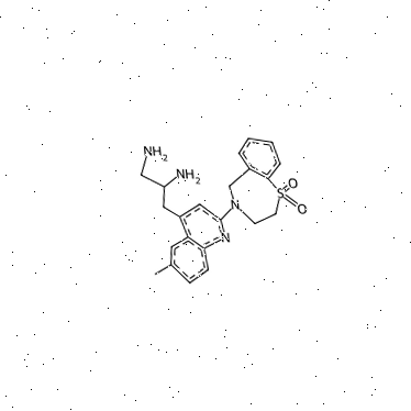 Cc1ccc2nc(N3CCS(=O)(=O)c4ccccc4C3)cc(CC(N)CN)c2c1